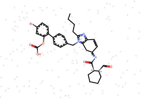 CCCCc1nc2c(n1Cc1ccc(-c3ccc(Br)cc3OC(=O)O)cc1)CC(=NC(=O)[C@@H]1CCCC[C@@H]1C=O)C=C2